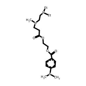 CCN(CC)CCN(C)CCC(=O)OCCOC(=O)c1ccc(N(C)C)cc1